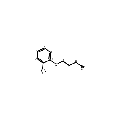 N#Cc1ccccc1OCCCBr